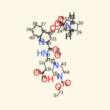 CCOC(=O)N1CCN(C(=O)C(CCC(=O)O)NC(=O)c2cc(OCC(=O)N3[C@@H]4CC[C@H]3CC(=O)C4)c3ccccc3n2)CC1